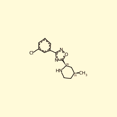 C[C@H]1CCN[C@@H](c2nc(-c3cccc(Cl)c3)no2)C1